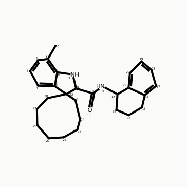 Cc1cccc2c1NC(C(=O)NC1CCCc3ccccc31)C21CCCCCCCC1